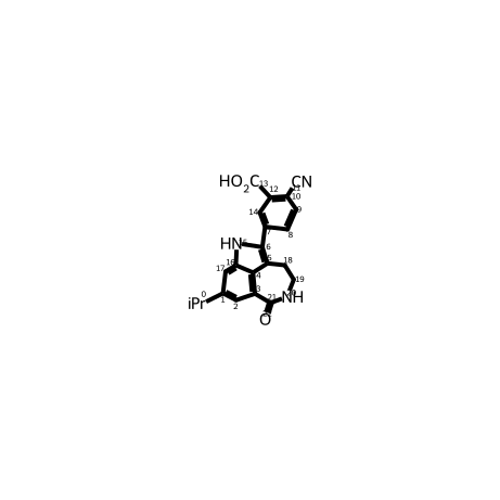 CC(C)c1cc2c3c(c(-c4ccc(C#N)c(C(=O)O)c4)[nH]c3c1)CCNC2=O